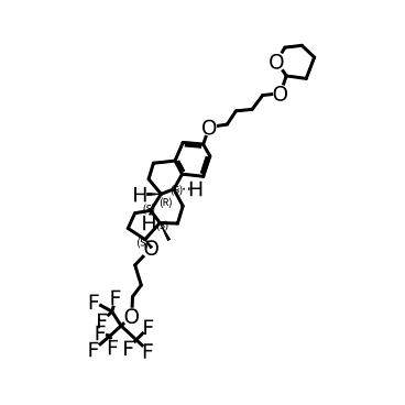 C[C@]12CC[C@@H]3c4ccc(OCCCCOC5CCCCO5)cc4CC[C@H]3[C@@H]1CC[C@@H]2OCCCOC(C(F)(F)F)(C(F)(F)F)C(F)(F)F